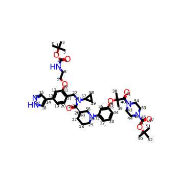 CC(C)(C)OC(=O)NCCOc1cc(-c2cn[nH]c2)ccc1CN(C(=O)[C@@H]1CCCN(c2cccc(OC(C)(C)C(=O)N3CCN(C(=O)OC(C)(C)C)CC3)c2)C1)C1CC1